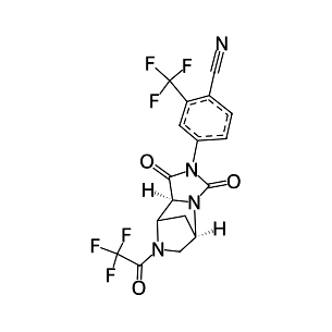 N#Cc1ccc(N2C(=O)[C@@H]3C4C[C@H](CN4C(=O)C(F)(F)F)N3C2=O)cc1C(F)(F)F